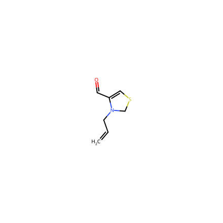 C=CCN1CSC=C1C=O